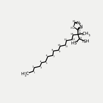 CCCCCCCCCCCCCCCC(C)(c1nncs1)C(S)S